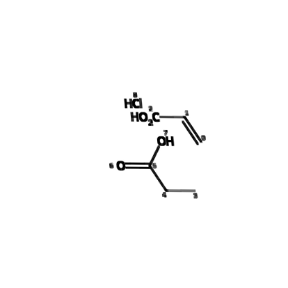 C=CC(=O)O.CCC(=O)O.Cl